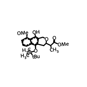 COC(=O)C(C)C1Cc2c(c(O)c3c(OC)cccc3c2O[Si](C)(C)C(C)(C)C)CO1